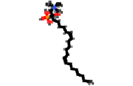 CCCCCCC/C=C\CCCC/C=C\CCCCCC(O)(C[N+](C)(C)C)P(=O)(O)O